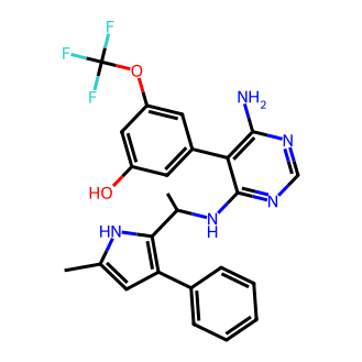 Cc1cc(-c2ccccc2)c(C(C)Nc2ncnc(N)c2-c2cc(O)cc(OC(F)(F)F)c2)[nH]1